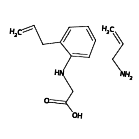 C=CCN.C=CCc1ccccc1NCC(=O)O